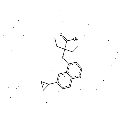 CCC(CC)(Sc1ccnc2ccc(C3CC3)cc12)C(=O)O